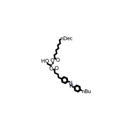 CCCCCCCCCCCCCCCCCC(=O)OC[C@H](CO)OC(=O)CCCc1ccc(/N=N/c2ccc(CCCC)cc2)cc1